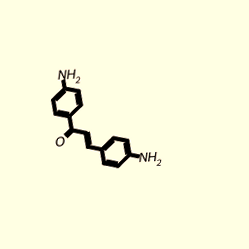 Nc1ccc(/C=C/C(=O)c2ccc(N)cc2)cc1